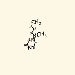 CCCCN(C)N1CC[N]CC1